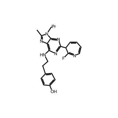 Cc1nc2c(NCCc3ccc(O)cc3)nc(C3C=CC=CN=C3F)nc2n1C(C)C